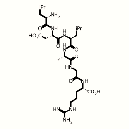 CC(C)C[C@H](NC(=O)[C@H](CC(=O)O)NC(=O)[C@@H](N)CC(C)C)C(=O)N[C@@H](C)C(=O)NCC(=O)N[C@@H](CCCNC(=N)N)C(=O)O